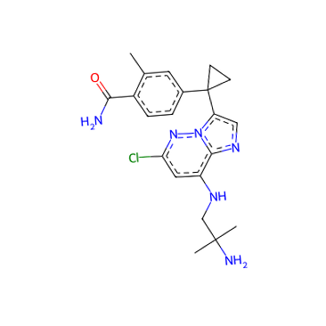 Cc1cc(C2(c3cnc4c(NCC(C)(C)N)cc(Cl)nn34)CC2)ccc1C(N)=O